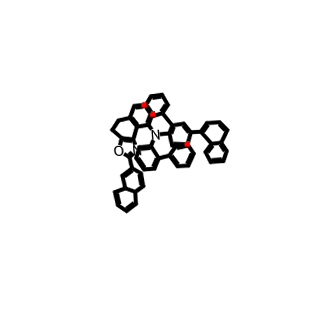 C1=CC2C=CC(c3nc4c(o3)CCc3cccc(N(c5ccccc5-c5ccccc5)c5ccc(-c6cccc7ccccc67)cc5-c5ccccc5)c3-4)=CC2C=C1